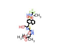 CC[C@H](NS(=O)(=O)c1ccc(-c2sc(-c3nnc(CC(C)(C)C(=O)OC)o3)nc2CO)c2ccccc12)C(F)(F)F